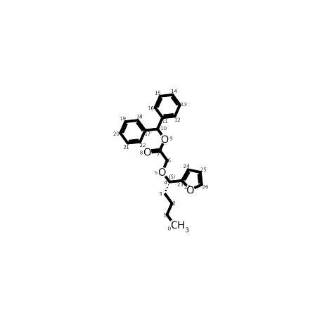 CCCC[C@H](OCC(=O)OC(c1ccccc1)c1ccccc1)c1ccco1